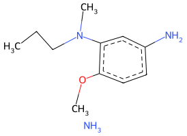 CCCN(C)c1cc(N)ccc1OC.N